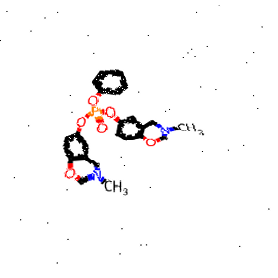 CN1COc2ccc(OP(=O)(Oc3ccccc3)Oc3ccc4c(c3)CN(C)CO4)cc2C1